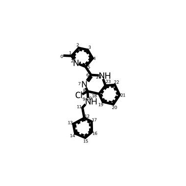 Cc1cccc(C2=NC(Cl)(NCc3ccccc3)c3ccccc3N2)n1